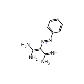 N=C(N)C(/N=N/c1ccccc1)=C(N)N